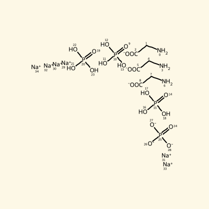 NCC(=O)[O-].NCC(=O)[O-].NCC(=O)[O-].O=P(O)(O)O.O=P(O)(O)O.O=P(O)(O)O.O=P([O-])([O-])[O-].[Na+].[Na+].[Na+].[Na+].[Na+].[Na+]